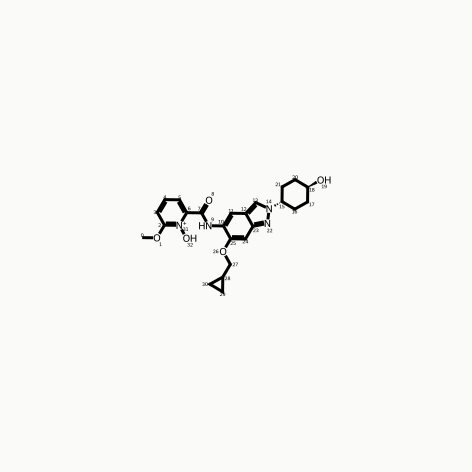 COc1cccc(C(=O)Nc2cc3cn([C@H]4CC[C@H](O)CC4)nc3cc2OCC2CC2)[n+]1O